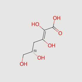 O=C(O)C(O)=C(O)C[C@H](O)CO